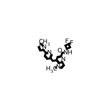 Cn1ccc(-c2ccc(Cc3cc(C(=O)NC4CC(F)(F)C4)nc4ccn(C)c34)cn2)n1